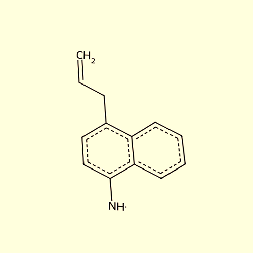 C=CCc1ccc([NH])c2ccccc12